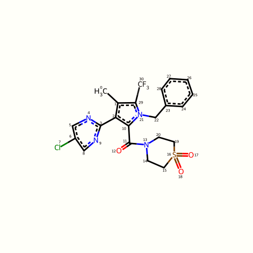 Cc1c(-c2ncc(Cl)cn2)c(C(=O)N2CCS(=O)(=O)CC2)n(Cc2ccccc2)c1C(F)(F)F